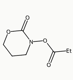 CCC(=O)ON1CCCOC1=O